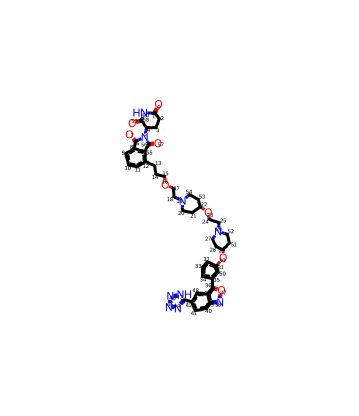 O=C1CCC(N2C(=O)c3cccc(CCCOCCN4CCC(OCCN5CCC(Oc6cccc(-c7onc8ccc(-c9nnn[nH]9)cc78)c6)CC5)CC4)c3C2=O)C(=O)N1